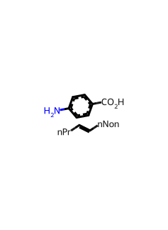 CCCC=CCCCCCCCCC.Nc1ccc(C(=O)O)cc1